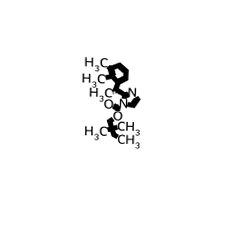 CCC(C)(C)COC(=O)n1ccnc1[C@@H](C)c1cccc(C)c1C